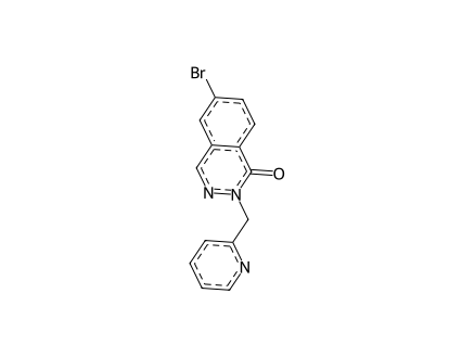 O=c1c2ccc(Br)cc2cnn1Cc1ccccn1